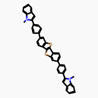 Cn1c(-c2ccc(-c3ccc4c(c3)sc3c5ccc(-c6ccc(-c7cc8ccccc8n7C)cc6)cc5sc43)cc2)cc2ccccc21